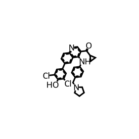 O=C(c1cnc2ccc(-c3cc(Cl)c(O)c(Cl)c3)cc2c1Nc1ccc(CN2CCCC2)cc1)C1CC1